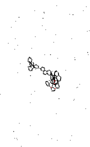 c1ccc(-c2ccccc2-c2ccc(N(c3ccc4c(ccc5cc(-c6ccc7c(c6)c6ccccc6n7-c6ccccc6)ccc54)c3)c3cccc4ccc5c6ccccc6oc5c34)cc2)cc1